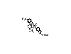 CC(=O)Nc1nc2ccc(NC(=O)NCc3ccc(C(F)(F)F)nc3N3CCC(C)CC3)cc2s1